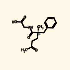 CC(=O)CC[C@](C)(Cc1ccccc1)C(=O)NCC(=O)O